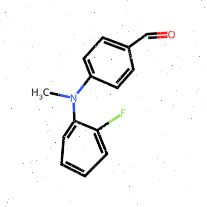 CN(c1ccc(C=O)cc1)c1ccccc1F